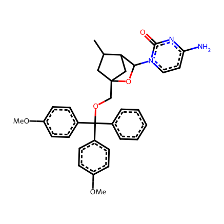 COc1ccc(C(OCC23CC(C)C(C2)C(n2ccc(N)nc2=O)O3)(c2ccccc2)c2ccc(OC)cc2)cc1